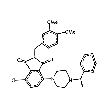 COc1ccc(CN2C(=O)c3c(Cl)ccc(N4CCN([C@H](C)c5ccccc5)CC4)c3C2=O)cc1OC